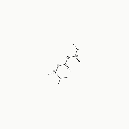 C[CH][C@@H](C)OC(=O)O[C@@H](C)C(C)C